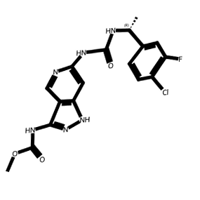 COC(=O)Nc1n[nH]c2cc(NC(=O)N[C@H](C)c3ccc(Cl)c(F)c3)ncc12